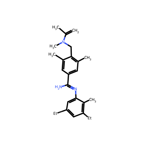 C=C(C)N(C)Cc1c(C)cc(/C(N)=N/c2cc(CC)cc(CC)c2C)cc1C